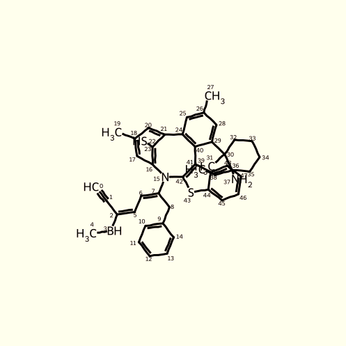 C#C/C(BC)=C\C=C(/Cc1ccccc1)N1c2cc(C)cc(c2S)-c2cc(C)cc(C3(C)CCCCC3(N)CC)c2-c2c1sc1ccccc21